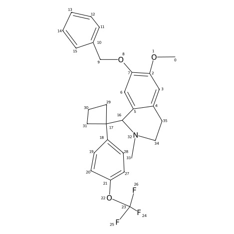 COc1cc2c(cc1OCc1ccccc1)C(C1(c3ccc(OC(F)(F)F)cc3)CCC1)N(C)CC2